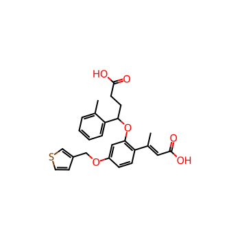 C/C(=C\C(=O)O)c1ccc(OCc2ccsc2)cc1OC(CCC(=O)O)c1ccccc1C